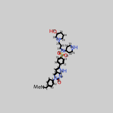 CNCc1ccc(-n2cc3cc(-c4ccc(S(=O)(=O)N(CCCN5CCCC(O)C5)C5CCNCC5)cc4)[nH]c3nc2=O)cc1